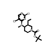 CCC1CN(C(=O)OC(C)(C)C)CCC1N(C)c1nc(Cl)ncc1Cl